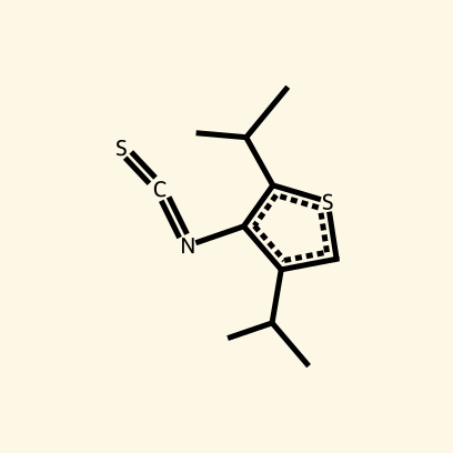 CC(C)c1csc(C(C)C)c1N=C=S